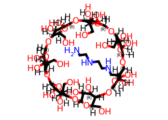 NCCNCCNC[C@H]1O[C@@H]2O[C@H]3[C@H](O)[C@@H](O)[C@@H](O[C@H]4[C@H](O)[C@@H](O)[C@@H](O[C@H]5[C@H](O)[C@@H](O)[C@@H](O[C@H]6[C@H](O)[C@@H](O)[C@@H](O[C@H]7[C@H](O)[C@@H](O)[C@@H](O[C@H]8[C@H](O)[C@@H](O)[C@@H](O[C@H]1[C@H](O)[C@H]2O)O[C@@H]8CO)O[C@@H]7CO)O[C@@H]6CO)O[C@@H]5CO)O[C@@H]4CO)O[C@@H]3CO